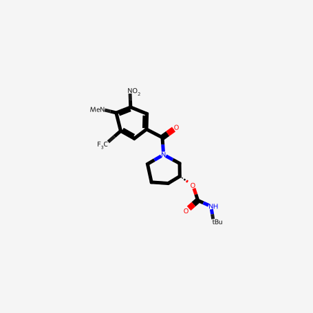 CNc1c([N+](=O)[O-])cc(C(=O)N2CCC[C@@H](OC(=O)NC(C)(C)C)C2)cc1C(F)(F)F